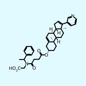 CC(c1ccccc1)N(CC(=O)O)C(=O)CCC(=O)O[C@H]1CC[C@@]2(C)C(=CC[C@@H]3[C@@H]2CC[C@]2(C)C(c4cccnc4)=CC[C@@H]32)C1